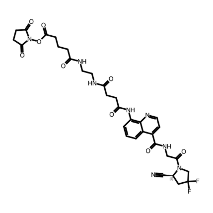 N#C[C@@H]1CC(F)(F)CN1C(=O)CNC(=O)c1ccnc2c(NC(=O)CCC(=O)NCCNC(=O)CCCC(=O)ON3C(=O)CCC3=O)cccc12